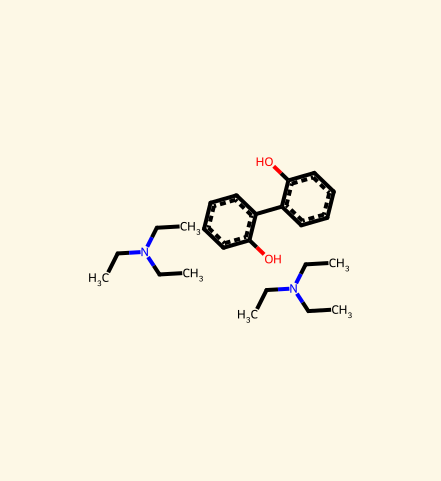 CCN(CC)CC.CCN(CC)CC.Oc1ccccc1-c1ccccc1O